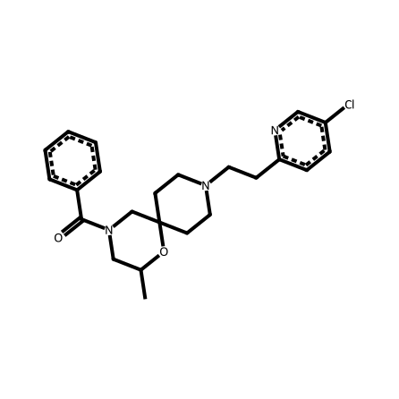 CC1CN(C(=O)c2ccccc2)CC2(CCN(CCc3ccc(Cl)cn3)CC2)O1